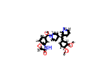 COc1ccc([C@H](c2cccnc2)C2CCN(C(=O)c3ccc4c(c3)NC(=O)CO4)CC2)cc1OC